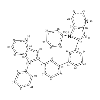 c1ccc(-n2c(-c3cccc(-c4cccc(-c5nc6ncccc6n5-c5ccccc5)c4)c3)nc3ncccc32)cc1